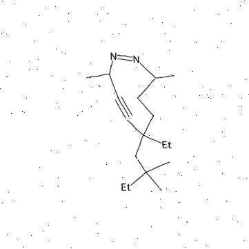 C#CC(C)/N=N\C(C)CCC(C)(CC)CC(C)(C)CC